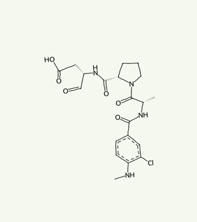 CNc1ccc(C(=O)N[C@@H](C)C(=O)N2CCC[C@H]2C(=O)N[C@H](C=O)CC(=O)O)cc1Cl